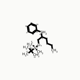 CCCCC(CO[Si](C)(C)C(C)(C)C)[SiH2]c1ccccc1